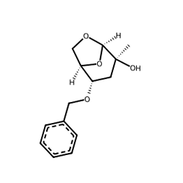 C[C@]1(O)C[C@H](OCc2ccccc2)[C@H]2CO[C@@H]1O2